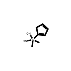 [CH3][W]([CH3])([N]=O)([N]=O)[C]1=CC=CC1